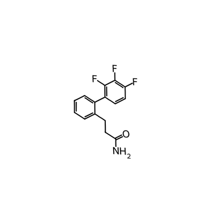 NC(=O)CCc1ccccc1-c1ccc(F)c(F)c1F